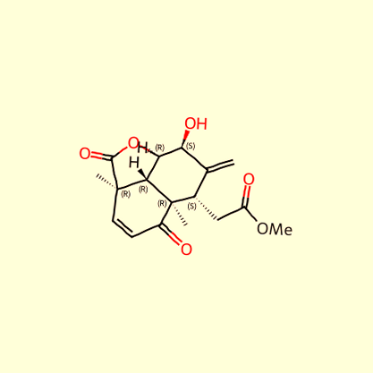 C=C1[C@H](O)[C@@H]2OC(=O)[C@]3(C)C=CC(=O)[C@@](C)([C@@H]23)[C@H]1CC(=O)OC